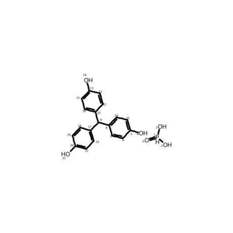 O=[PH](O)O.Oc1ccc(C(c2ccc(O)cc2)c2ccc(O)cc2)cc1